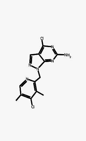 Cc1cnc(Cn2ncc3c(Cl)nc(N)nc32)c(C)c1Cl